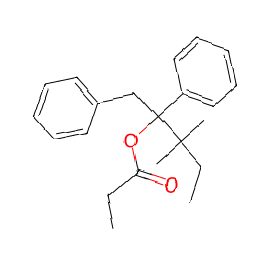 CCC(=O)OC(Cc1ccccc1)(c1ccccc1)C(C)(C)CC